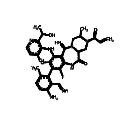 C=CC(=O)N1CC2C(=O)Nc3c(F)c(-c4c(C)ccc(N)c4C=N)c(Cl)c(Nc4c(C)ccnc4C(C)O)c3C(=N)N2CC1C